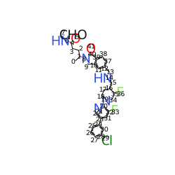 CC(CCC(=O)NC=O)N1Cc2cc(CNCC3CCN(c4ncc(-c5cccc(Cl)c5)cc4F)CC3F)ccc2C1=O